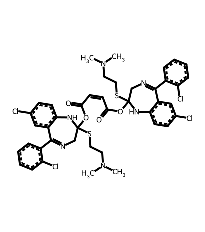 CN(C)CCSC1(OC(=O)/C=C\C(=O)OC2(SCCN(C)C)CN=C(c3ccccc3Cl)c3cc(Cl)ccc3N2)CN=C(c2ccccc2Cl)c2cc(Cl)ccc2N1